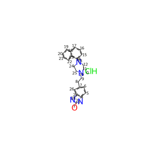 Cl.O=C1N=c2ccc(CCN3CCN(c4cccc5ccccc45)CC3)cc2=N1